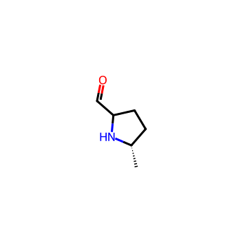 C[C@H]1CCC(C=O)N1